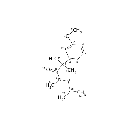 COc1cccc(C(C)(C)C(=O)N(C)CC(C)C)c1